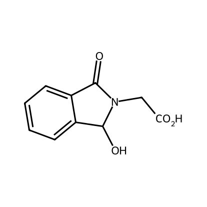 O=C(O)CN1C(=O)c2ccccc2C1O